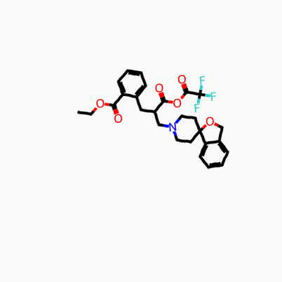 CCOC(=O)c1ccccc1CC(CN1CCC2(CC1)OCc1ccccc12)C(=O)OC(=O)C(F)(F)F